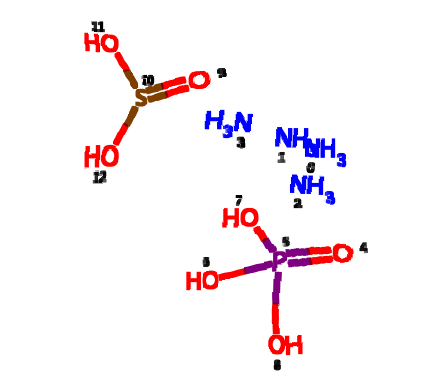 N.N.N.N.O=P(O)(O)O.O=S(O)O